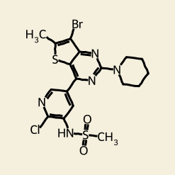 Cc1sc2c(-c3cnc(Cl)c(NS(C)(=O)=O)c3)nc(N3CCCCC3)nc2c1Br